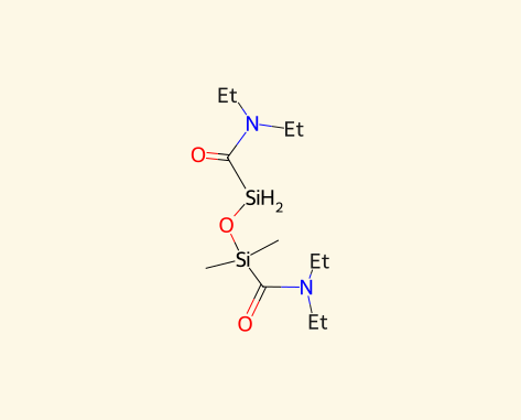 CCN(CC)C(=O)[SiH2]O[Si](C)(C)C(=O)N(CC)CC